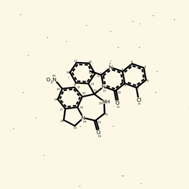 Cc1nc2cccc(Cl)c2c(=O)n1C1(c2ccccc2)NCC(=O)N2CCc3cc([N+](=O)[O-])cc1c32